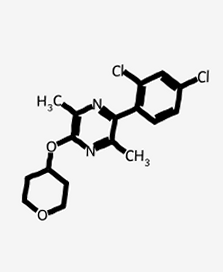 Cc1nc(-c2ccc(Cl)cc2Cl)c(C)nc1OC1CCOCC1